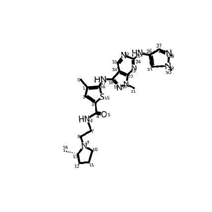 Cc1cc(C(=O)NCCN2CCC[C@@H]2C)sc1Nc1nn(C)c2nc(Nc3cnn(C)c3)ncc12